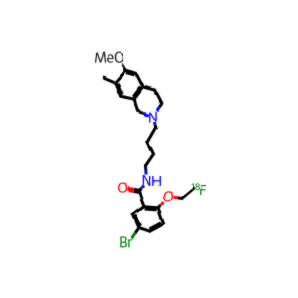 COc1cc2c(cc1C)CN(CCCCNC(=O)c1cc(Br)ccc1OCC[18F])CC2